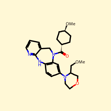 COCC1COCCN1c1ccc2c(c1)N(C(=O)[C@H]1CC[C@H](OC)CC1)Cc1cccnc1N2